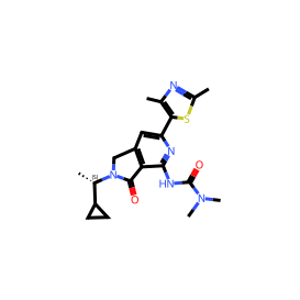 Cc1nc(C)c(-c2cc3c(c(NC(=O)N(C)C)n2)C(=O)N([C@@H](C)C2CC2)C3)s1